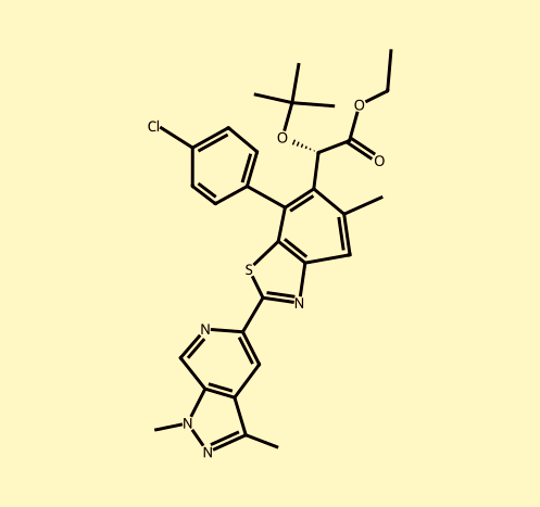 CCOC(=O)[C@@H](OC(C)(C)C)c1c(C)cc2nc(-c3cc4c(C)nn(C)c4cn3)sc2c1-c1ccc(Cl)cc1